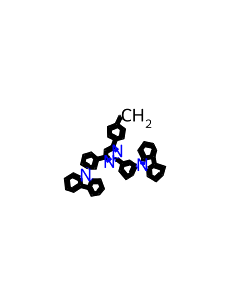 C=Cc1ccc(-c2cc(-c3cccc(-n4c5ccccc5c5ccccc54)c3)nc(-c3cccc(-n4c5ccccc5c5ccccc54)c3)n2)cc1